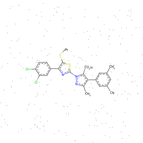 Cc1cc(C#N)cc(-c2c(C)nn(-c3nc(-c4ccc(Cl)c(Cl)c4)c(SC(C)C)s3)c2C(=O)O)c1